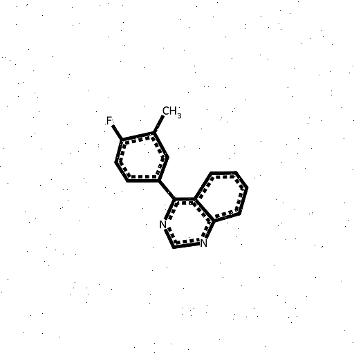 Cc1cc(-c2ncnc3ccccc23)ccc1F